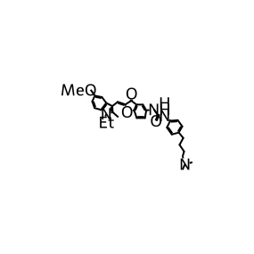 CCn1c(C)c(C=C2Oc3ccc(NC(=O)Nc4ccc(CCCCN(C)C)cc4)cc3C2=O)c2cc(OC)ccc21